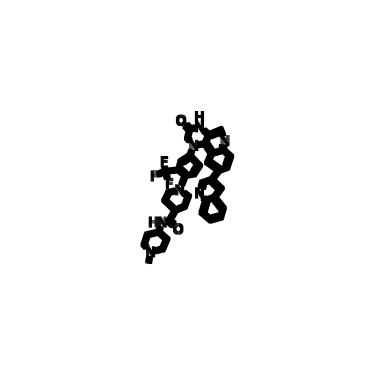 CN1CCC(NC(=O)C2CCN(c3ccc(N4CC(=O)Nc5cnc6ccc(-c7cnc8ccccc8c7)cc6c54)cc3C(F)(F)F)CC2)CC1